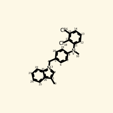 Cc1cn(Cc2ccc(N(C)c3cccc(Cl)c3Cl)cc2)c2ccccc12